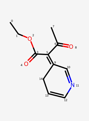 CCOC(=O)C(C(C)=O)=C1C=NC=CC1